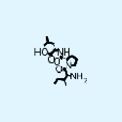 CC[C@H](C)[C@H](N)C(=O)N1CCC[C@H]1C(=O)N[C@@H](CC(C)C)C(=O)O